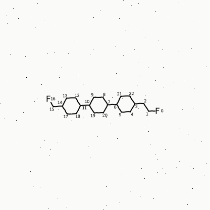 FCCC1CCC(C2CCC(C3CCC(CF)CC3)CC2)CC1